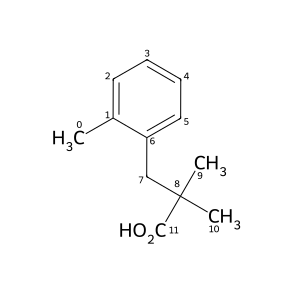 Cc1ccccc1CC(C)(C)C(=O)O